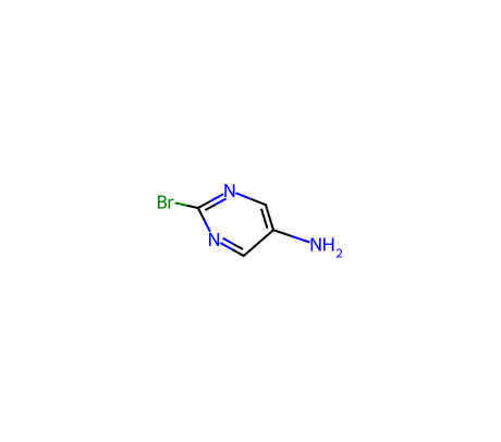 Nc1cnc(Br)nc1